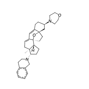 C[C@]12CC=C3C=C4CC[C@@H](N5CCOCC5)C[C@]45CC[C@]3(O5)[C@@H]1CC[C@@H]2N1CCc2ccccc2C1